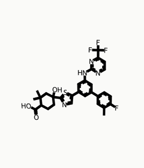 Cc1cc(-c2cc(Nc3nccc(C(F)(F)F)n3)cc(-c3cnc(C4(O)CCC(C(=O)O)C(C)(C)C4)s3)c2)ccc1F